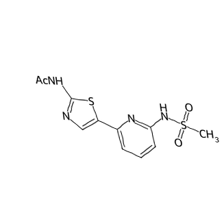 CC(=O)Nc1ncc(-c2cccc(NS(C)(=O)=O)n2)s1